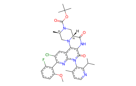 COc1cccc(F)c1-c1nc2c(cc1Cl)c1c(c(=O)n2-c2c(C)ccnc2C(C)C)NC(=O)[C@H]2CN(C(=O)OC(C)(C)C)[C@H](C)CN12